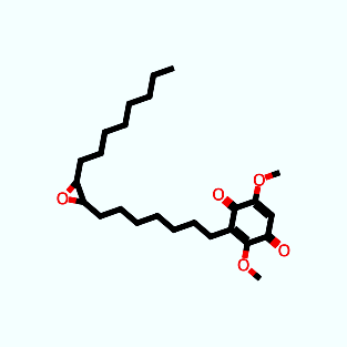 CCCCCCCCC1OC1CCCCCCCC1=C(OC)C(=O)C=C(OC)C1=O